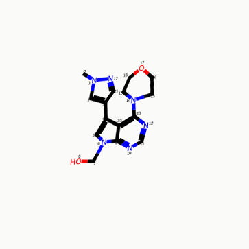 Cn1cc(-c2cn(CO)c3ncnc(N4CCOCC4)c23)cn1